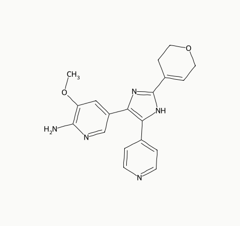 COc1cc(-c2nc(C3=CCOCC3)[nH]c2-c2ccncc2)cnc1N